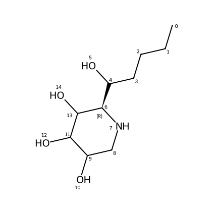 CCCCC(O)[C@H]1NCC(O)C(O)C1O